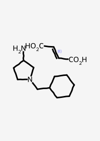 NC1CCN(CC2CCCCC2)C1.O=C(O)/C=C/C(=O)O